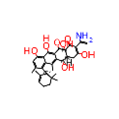 C=C(N)C1=C(O)C[C@@H]2[C@H](O)c3c(c(O)c4c(O)cc(C)c5c4c3C[C@]53C(C)=CCCC3(C)C)C(=O)[C@]2(O)C1=O